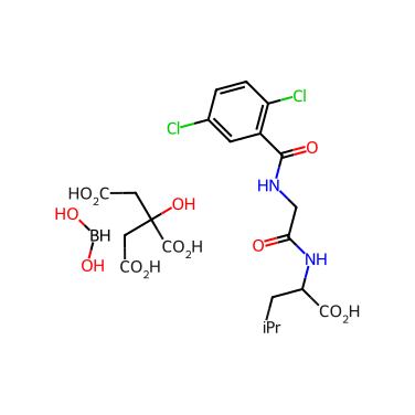 CC(C)CC(NC(=O)CNC(=O)c1cc(Cl)ccc1Cl)C(=O)O.O=C(O)CC(O)(CC(=O)O)C(=O)O.OBO